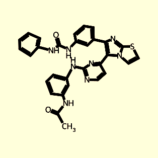 CC(=O)Nc1cccc(Nc2nccc(-c3c(-c4cccc(NC(=O)Nc5ccccc5)c4)nc4sccn34)n2)c1